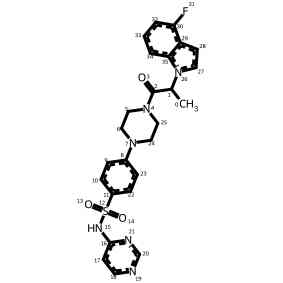 CC(C(=O)N1CCN(c2ccc(S(=O)(=O)Nc3ccncn3)cc2)CC1)n1ccc2c(F)cccc21